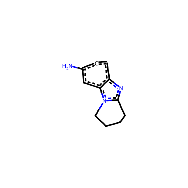 Nc1ccc2nc3n(c2c1)CCCC3